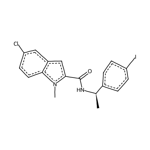 C[C@@H](NC(=O)c1cc2cc(Cl)ccc2n1C)c1ccc(I)cc1